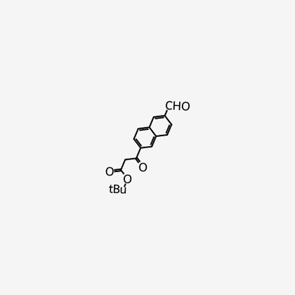 CC(C)(C)OC(=O)CC(=O)c1ccc2cc(C=O)ccc2c1